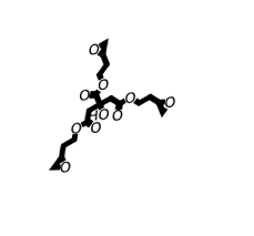 O=C(CC(O)(CC(=O)OCCC1CO1)C(=O)OCCC1CO1)OCCC1CO1